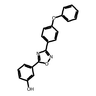 Oc1cccc(-c2nc(-c3ccc(Oc4ccccc4)cc3)no2)c1